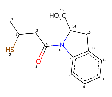 CC(S)CC(=O)N1c2ccccc2CC1C(=O)O